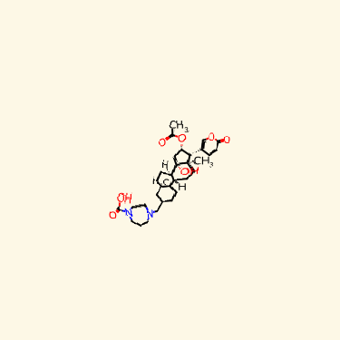 CC(=O)O[C@H]1C[C@]2(O)[C@@H]3CCC4CC(CN5CCCN(C(=O)O)CC5)CC[C@]4(C)[C@H]3CC[C@]2(C)[C@H]1c1ccc(=O)oc1